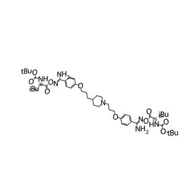 CC[C@H](C)[C@H](NC(=O)OC(C)(C)C)C(=O)ON=C(N)c1ccc(OCCCC2CCN(CCCOc3ccc(C(N)=NOC(=O)[C@@H](NC(=O)OC(C)(C)C)[C@@H](C)CC)cc3)CC2)cc1